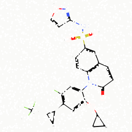 O=c1ccc2cc(S(=O)(=O)Nc3ccon3)ccc2n1-c1cc(F)c([C@H]2C[C@@H]2C(F)(F)F)cc1OC1CC1